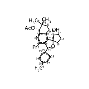 CC(=O)O[C@H]1c2nc(C(C)C)c3c(c2[C@@H](O)CC1(C)C)C1(CCCC1)OC3c1ccc(C(F)(F)F)cc1